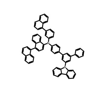 c1ccc(-c2cc(-c3ccc(N(c4cccc(-c5cccc6ccccc56)c4)c4ccc(-c5cccc6ccccc56)c5ccccc45)cc3)cc(-n3c4ccccc4c4ccccc43)c2)cc1